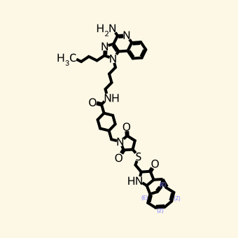 CCCCc1nc2c(N)nc3ccccc3c2n1CCCCNC(=O)C1CCC(CN2C(=O)CC(SCC3NC4/C5=C/C=C\C=C/C=C(C=C5)/C4C3=O)C2=O)CC1